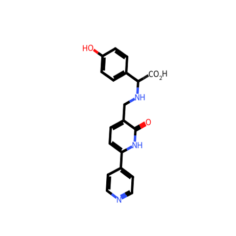 O=C(O)C(NCc1ccc(-c2ccncc2)[nH]c1=O)c1ccc(O)cc1